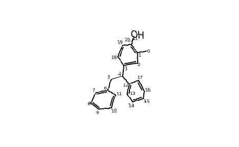 Cc1cc(C(Cc2ccccc2)c2ccccc2)ccc1O